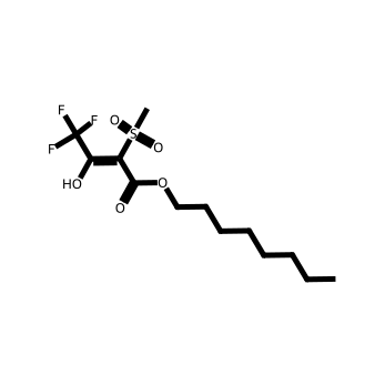 CCCCCCCCOC(=O)/C(=C(\O)C(F)(F)F)S(C)(=O)=O